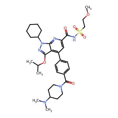 COCCS(=O)(=O)NC(=O)c1cc(-c2ccc(C(=O)N3CCC(N(C)C)CC3)cc2)c2c(OC(C)C)nn(C3CCCCC3)c2n1